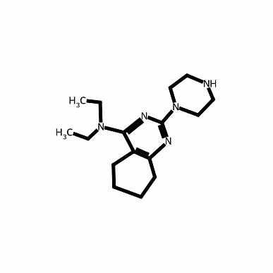 CCN(CC)c1nc(N2CCNCC2)nc2c1CCCC2